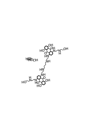 Cl.Cl.Cl.Cl.O=C1c2c(O)ccc(O)c2C(=O)c2c(NCCNCCCCNCCNc3ccc(NCCNCCO)c4c3C(=O)c3c(O)ccc(O)c3C4=O)ccc(NCCNCCO)c21